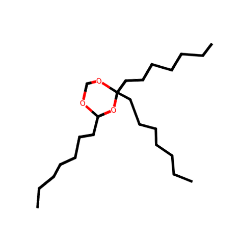 CCCCCCCC1OCOC(CCCCCCC)(CCCCCCC)O1